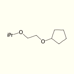 CC(C)OCCOC1CCCC1